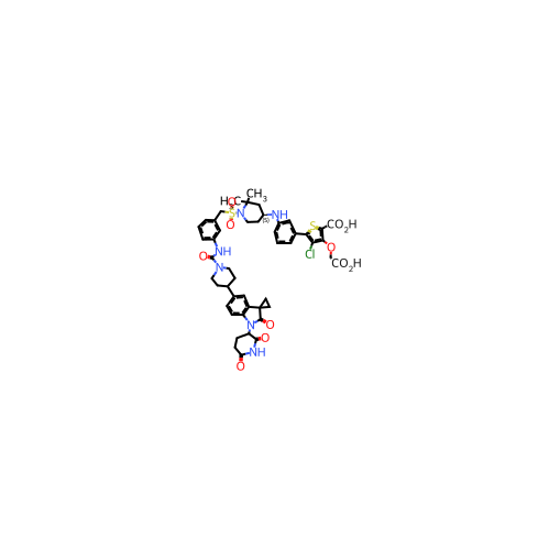 CC1(C)C[C@@H](Nc2cccc(-c3sc(C(=O)O)c(OCC(=O)O)c3Cl)c2)CCN1S(=O)(=O)Cc1cccc(NC(=O)N2CCC(c3ccc4c(c3)C3(CC3)C(=O)N4C3CCC(=O)NC3=O)CC2)c1